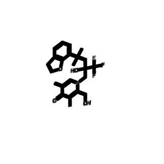 Cc1cn(CC(O)(CC(C)(C)c2cccc3c2OCC3)C(F)(F)F)c(CO)c(C)c1=O